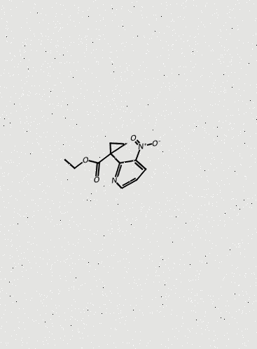 CCOC(=O)C1(c2ncccc2[N+](=O)[O-])CC1